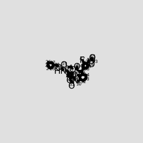 CCOC(=O)c1[nH]c2c([C@H](C)N3CC4(CC(CNC(=O)OCc5ccccc5)C4)OC3=O)cccc2c1-c1ccc(CS(C)(=O)=O)c(F)c1